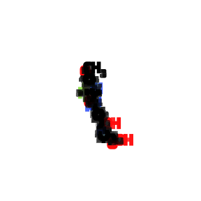 COc1ccc(-n2ncc(-c3nc(-c4ccc([C@@H](O)CN5CCC[C@H](CC(=O)O)C5)cc4)no3)c2C(F)(F)F)cc1